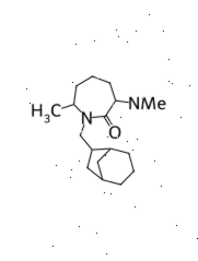 CNC1CCCC(C)N(CC2CC3CCCC2C3)C1=O